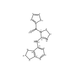 O=C(c1cccs1)N1CCN=C1Nc1cccc2c1CCC2